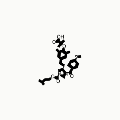 CSc1ccc(C(=O)[C@H]2CN(C(=O)OCCC(C)C)C[C@@H]2CCc2cc(C)c(OC(C)(C)C(=O)O)c(C)c2)cc1